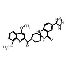 COc1cc(C(=O)N2CCC3(CC2)NC(=O)c2cc(-c4nnn[nH]4)ccc2N3)nc2c(OC)cccc12